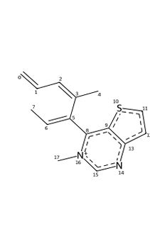 C=C/C=C(C)\C(=C/C)c1c2sccc2nc[n+]1C